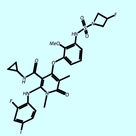 COc1c(NS(=O)(=O)N2CC(F)C2)cccc1Oc1c(C(=O)NC2CC2)c(Nc2ccc(I)cc2F)n(C)c(=O)c1C